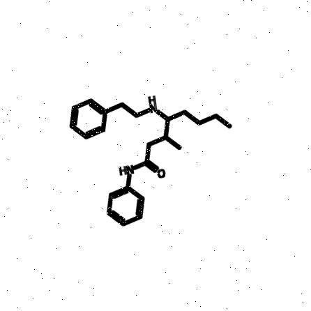 CCCCC(NCCc1ccccc1)C(C)CC(=O)Nc1ccccc1